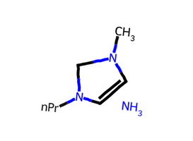 CCCN1C=CN(C)C1.N